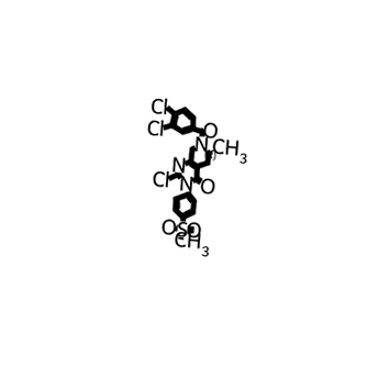 C[C@@H]1Cc2c(nc(Cl)n(-c3ccc(S(C)(=O)=O)cc3)c2=O)CN1C(=O)c1ccc(Cl)c(Cl)c1